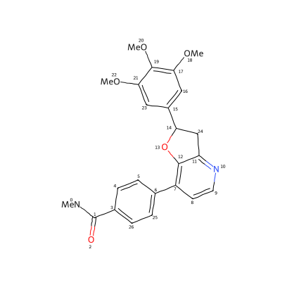 CNC(=O)c1ccc(-c2ccnc3c2OC(c2cc(OC)c(OC)c(OC)c2)C3)cc1